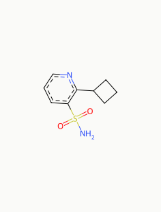 NS(=O)(=O)c1cccnc1C1CCC1